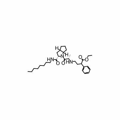 CCCCCCCCNC(=O)[C@@H]1C[C@@H]2CCC[C@@H]2N1C(=O)[C@H](C)NCCC(C(=O)OCC)c1ccccc1